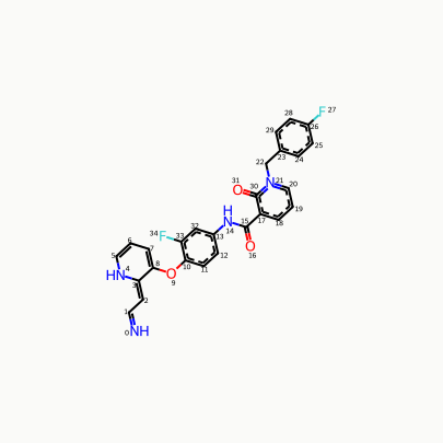 N=C/C=C1\NC=CC=C1Oc1ccc(NC(=O)c2cccn(Cc3ccc(F)cc3)c2=O)cc1F